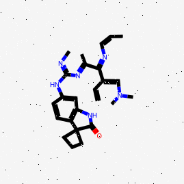 C=CC(=C\N(C)C)/C(=N/C=C\C)C(/C)=N/C(=N\C)Nc1ccc2c(c1)NC(=O)C21CCC1